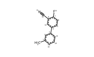 Cc1cc(-c2ccc(F)c(C#N)c2)ccn1